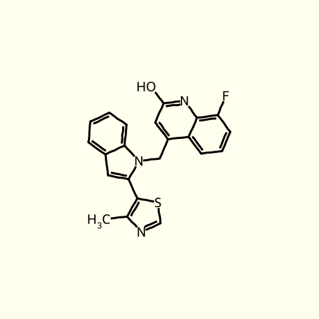 Cc1ncsc1-c1cc2ccccc2n1Cc1cc(O)nc2c(F)cccc12